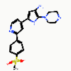 CS(=O)(=O)c1ccc(-c2cc(-c3cc(N)c(N4CCNCC4)[nH]3)ccn2)cc1